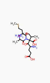 CCC(C)C(C(=O)O)(C(=O)C(N)CCC(=O)O)N(C(=O)C(C)N)C(=O)C(N)CCSC